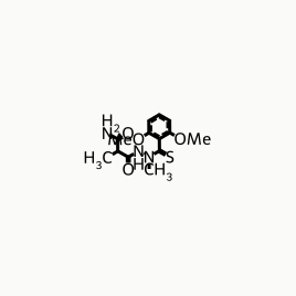 COc1cccc(OC)c1C(=S)N(C)NC(=O)C(C)C(N)=O